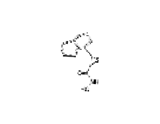 O=C(NO)C1SC1c1cccc2ccccc12